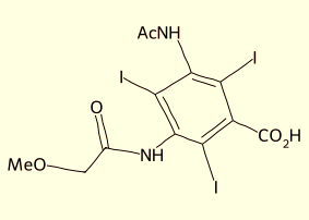 COCC(=O)Nc1c(I)c(NC(C)=O)c(I)c(C(=O)O)c1I